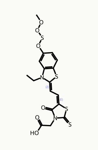 CCN1/C(=C/C=C2/SC(=S)N(CC(=O)O)C2=O)Sc2ccc(OSOOC)cc21